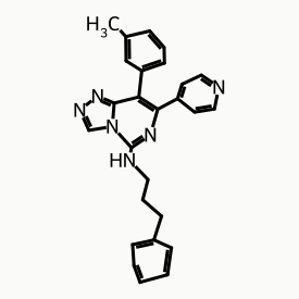 Cc1cccc(-c2c(-c3ccncc3)nc(NCCCc3ccccc3)n3cnnc23)c1